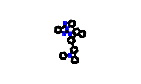 c1ccc(-n2c3ccccc3c3ccc(-c4ccc5c(c4)c4c6ccccc6ccc4n5-c4nc5ccccc5c5nc6ccccc6n45)cc32)cc1